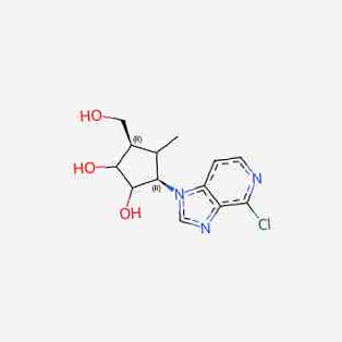 CC1[C@H](CO)C(O)C(O)[C@@H]1n1cnc2c(Cl)nccc21